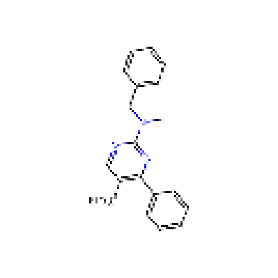 CCOC(=O)c1cnc(N(C)Cc2ccccc2)nc1-c1ccccc1